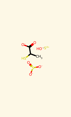 CC(S)C(=O)[O-].O=S([O-])[O-].[OH-].[S+4]